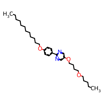 CCCCCCCCCCCCOc1ccc(-c2ncc(OCCCCOCCCCC)cn2)cc1